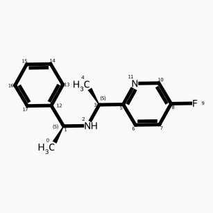 C[C@H](N[C@@H](C)c1ccc(F)cn1)c1ccccc1